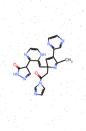 CC1=NC(C=C2NC=CN=C2C2C=NNC2=O)(CC(=O)n2ccnc2)C=C1c1cnccn1